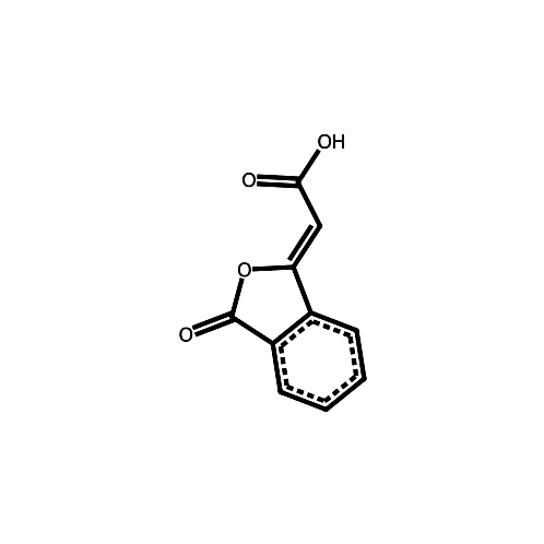 O=C(O)C=C1OC(=O)c2ccccc21